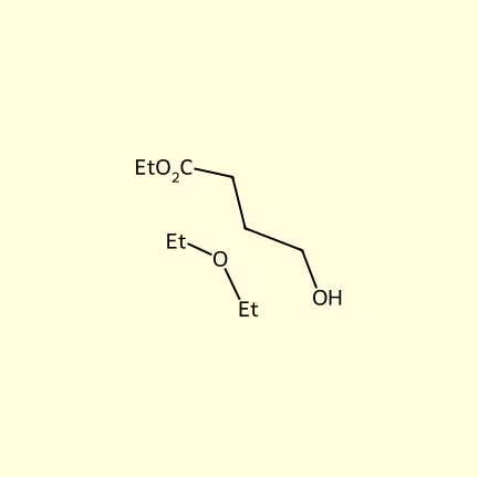 CCOC(=O)CCCO.CCOCC